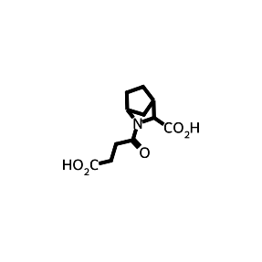 O=C(O)CCC(=O)N1C2CCC(C2)C1C(=O)O